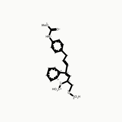 COC(=O)Nc1ccc(CC=CC(=CC(COS(=O)(=O)O)OS(=O)(=O)O)c2ccccc2)cc1